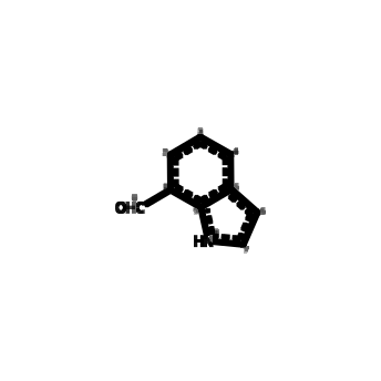 O=Cc1cccc2[c]c[nH]c12